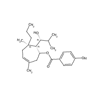 CCC[C@]1(C)CC=C(C)CC(OC(=O)c2ccc(O)cc2)[C@H]1[C@H](O)C(C)C